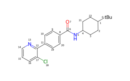 CC(C)(C)C1CCC(NC(=O)c2ccc(-c3ncccc3Cl)cc2)CC1